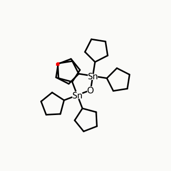 C1CC[CH]([Sn]([O][Sn]([CH]2CCCC2)([CH]2CCCC2)[CH]2CCCC2)([CH]2CCCC2)[CH]2CCCC2)C1